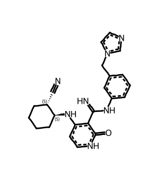 N#C[C@H]1CCCC[C@@H]1Nc1cc[nH]c(=O)c1C(=N)Nc1cccc(Cn2ccnc2)c1